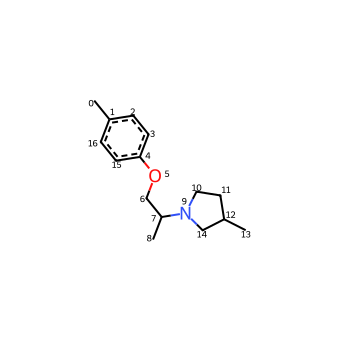 Cc1ccc(OCC(C)N2CCC(C)C2)cc1